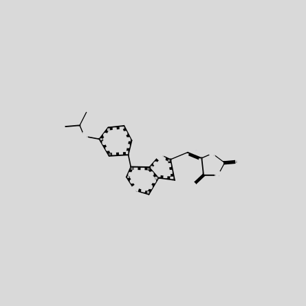 CC(C)Oc1cccc(-c2cncc3cc(/C=C4/SC(=O)NC4=O)oc23)c1